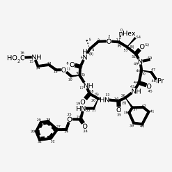 CCCCCC[C@H]1OC[C@@H](C)NC(=O)[C@H](COCCCNC(=O)O)NC(=O)[C@H](CNC(=O)OCc2ccccc2)NC(=O)[C@H](C2CCCCC2)NC(=O)[C@H](CC(C)C)N(C)C(=O)[C@@H]1C